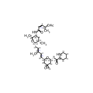 CC(=O)O[C@@H](C)/C=C\C(=O)N[C@@H]1C[C@H](C)[C@H](C/C=C(C)/C=C/[C@@H]2C[C@]3(CO3)C[C@@H](CC(=O)N3CCCCN3)O2)O[C@@H]1C